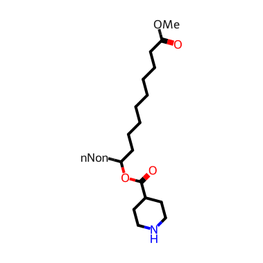 CCCCCCCCCC(CCCCCCCCC(=O)OC)OC(=O)C1CCNCC1